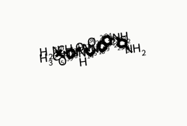 CC(C)(N)C(=O)N1CCN(C(=O)Nc2ccn(-c3ccc4c(c3)CCC(NC3CCC(N)CC3)C4)c(=O)n2)CC1